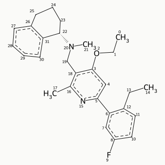 CCOc1cc(-c2cc(F)ccc2CC)nc(C)c1CN(C)[C@H]1CCCc2ccccc21